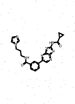 O=C(NCCCn1ccnc1)c1cccc(-c2cnc3nc(NC(=O)C4CC4)sc3n2)c1